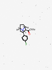 COC(=O)C1C(c2ccc(F)cc2)C[C@@H]2CC[C@H]1N2C